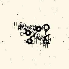 Cn1nc(NS(C)(=O)=O)c2c(Cl)ccc(-n3c([C@H](Cc4cc(F)cc(F)c4)NC(=O)Cn4nc(C(F)F)c5c4C(F)(F)[C@@H]4C[C@H]54)nc4cc(N5CCCCCC5)ccc4c3=O)c21